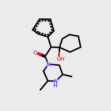 CC1CN(C(=O)C(c2ccccc2)C2(O)CCCCC2)CC(C)N1